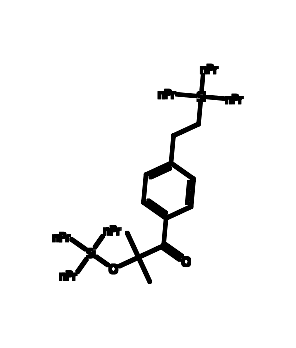 CCC[Si](CCC)(CCC)CCc1ccc(C(=O)C(C)(C)O[Si](CCC)(CCC)CCC)cc1